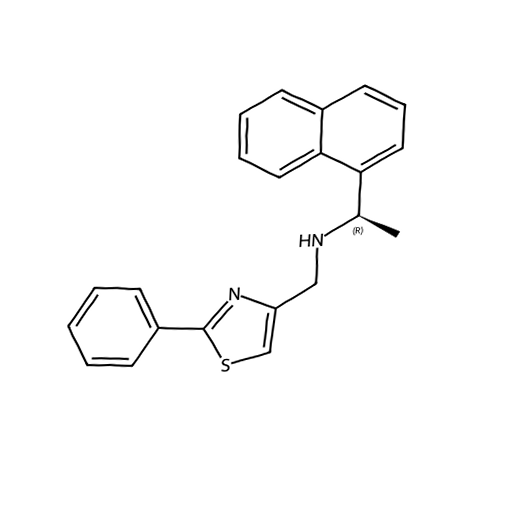 C[C@@H](NCc1csc(-c2ccccc2)n1)c1cccc2ccccc12